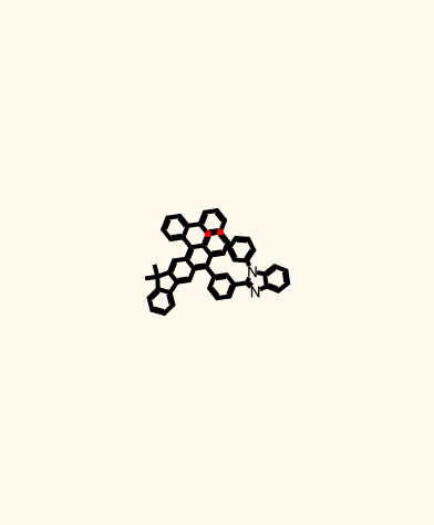 CC1(C)c2ccccc2-c2cc3c(-c4cccc(-c5nc6ccccc6n5-c5ccccc5)c4)c4ccccc4c(-c4ccccc4-c4ccccc4)c3cc21